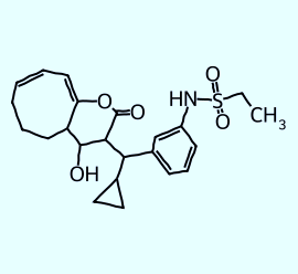 CCS(=O)(=O)Nc1cccc(C(C2CC2)C2C(=O)OC3=CC=CCCCC3C2O)c1